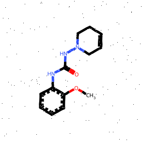 COc1ccccc1NC(=O)NN1CC=CCC1